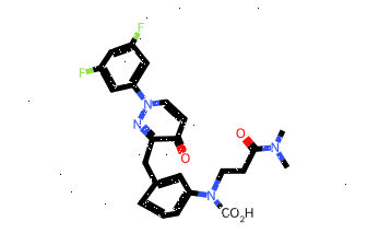 CN(C)C(=O)CCN(C(=O)O)c1cccc(Cc2nn(-c3cc(F)cc(F)c3)ccc2=O)c1